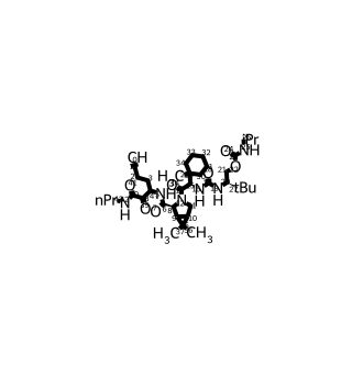 C#CCCC(NC(=O)[C@@H]1C2C(CN1C(=O)[C@@H](NC(=O)N[C@H](COC(=O)NC(C)C)C(C)(C)C)C1(C)CCCCC1)C2(C)C)C(=O)C(=O)NCCC